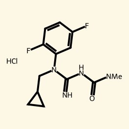 CNC(=O)NC(=N)N(CC1CC1)c1cc(F)ccc1F.Cl